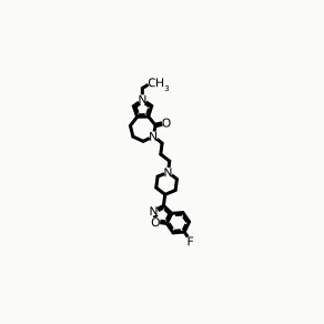 CCn1cc2c(c1)C(=O)N(CCCN1CCC(c3noc4cc(F)ccc34)CC1)CCC2